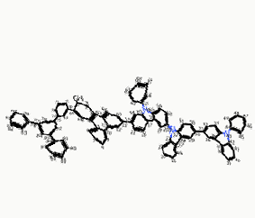 CC1Cc2c(c3ccccc3c3cc(-c4ccc5c6cc(-n7c8ccccc8c8cc(-c9ccc%10c(c9)c9ccccc9n%10-c9ccccc9)ccc87)ccc6n(-c6ccccc6)c5c4)ccc23)C=C1c1cccc(-c2cc(-c3ccccc3)cc(-c3ccccc3)c2)c1